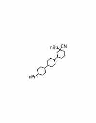 CCCCC1(C#N)CCCC(C2CCC(C3CCC(CCC)CC3)CC2)C1